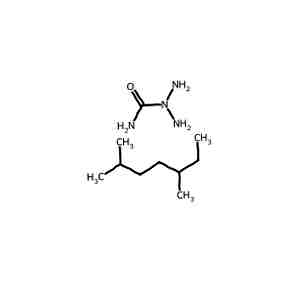 CCC(C)CCC(C)C.NC(=O)N(N)N